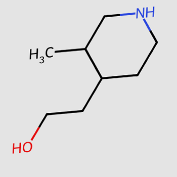 CC1CNCCC1CCO